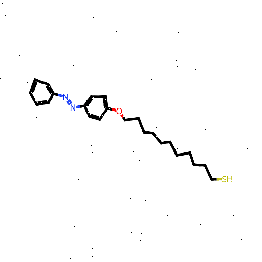 SCCCCCCCCCCCOc1ccc(/N=N/c2ccccc2)cc1